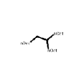 CCCCCCCCCCCC(CCCCCCCC)CCCCCCCC